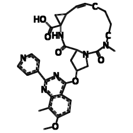 COc1ccc2c(OC3CC4C(=O)NC5(C(=O)O)CC5C=CCCCCN(C)C(=O)N4C3)nc(-c3ccncc3)nc2c1C